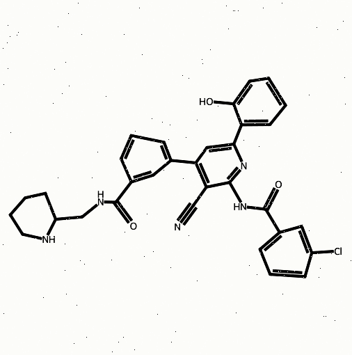 N#Cc1c(-c2cccc(C(=O)NCC3CCCCN3)c2)cc(-c2ccccc2O)nc1NC(=O)c1cccc(Cl)c1